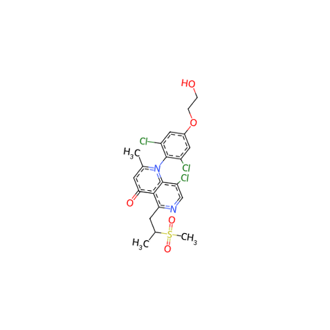 Cc1cc(=O)c2c(CC(C)S(C)(=O)=O)ncc(Cl)c2n1-c1c(Cl)cc(OCCO)cc1Cl